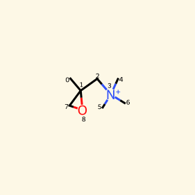 CC1(C[N+](C)(C)C)CO1